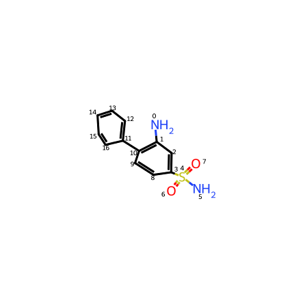 Nc1cc(S(N)(=O)=O)ccc1-c1ccccc1